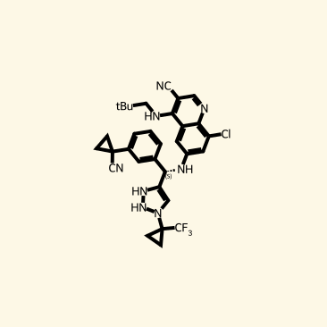 CC(C)(C)CNc1c(C#N)cnc2c(Cl)cc(N[C@H](C3=CN(C4(C(F)(F)F)CC4)NN3)c3cccc(C4(C#N)CC4)c3)cc12